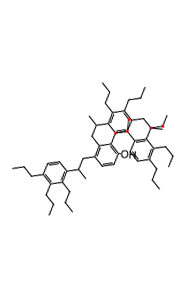 CCCc1ccc(C(C)Cc2ccc(O)c(CC(C)c3ccc(CCC)c(CCC)c3CCC)c2CC(C)c2ccc(CCC)c(CCC)c2CCC)c(CCC)c1CCC